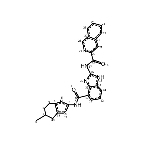 CC1CCc2nc(NC(=O)c3cccc4[nH]c(NC(=O)c5cc6ccccc6cn5)nc34)sc2C1